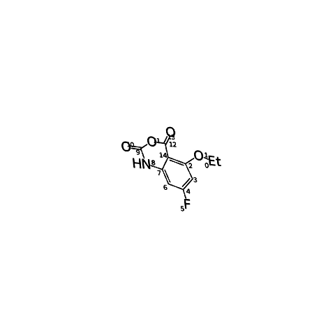 CCOc1cc(F)cc2[nH]c(=O)oc(=O)c12